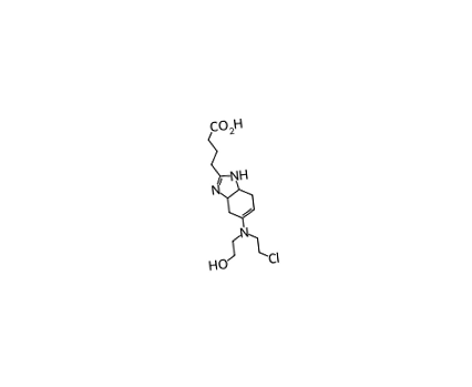 O=C(O)CCCC1=NC2CC(N(CCO)CCCl)=CCC2N1